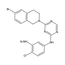 CC(=O)Nc1cc(Nc2ncnc(N3CCc4cc(Br)ccc4C3)n2)ccc1Cl